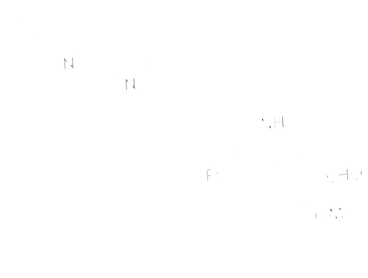 COc1ccc(-c2[nH]c3ccc(C4CCN(C5CCN(CC6CC6)CC5)CC4)cc3c2C(C)C)cc1C=O